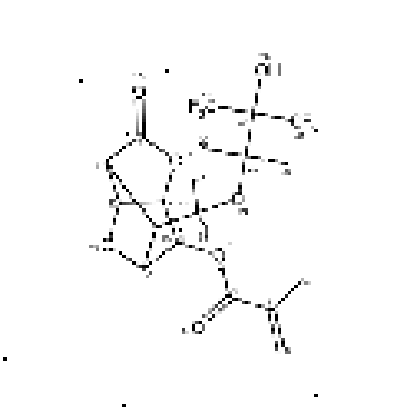 C=C(C)C(=O)OC1C2OC(=O)C3C2OC1C3C(C)(C)OC(C)(C)C(O)(C(F)(F)F)C(F)(F)F